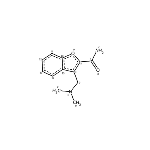 CN(C)Cc1c(C(N)=O)oc2ccccc12